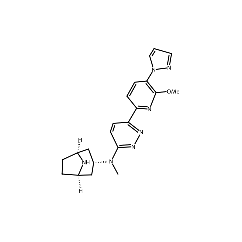 COc1nc(-c2ccc(N(C)[C@@H]3C[C@H]4CC[C@@H](C3)N4)nn2)ccc1-n1cccn1